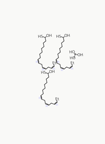 CC/C=C\C/C=C\C/C=C\CCCCCCCC(O)S.CC/C=C\C/C=C\C/C=C\CCCCCCCC(O)S.CC/C=C\C/C=C\C/C=C\CCCCCCCC(O)S.OP(O)O